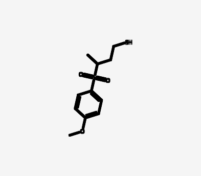 COc1ccc(S(=O)(=O)C(C)CCS)cc1